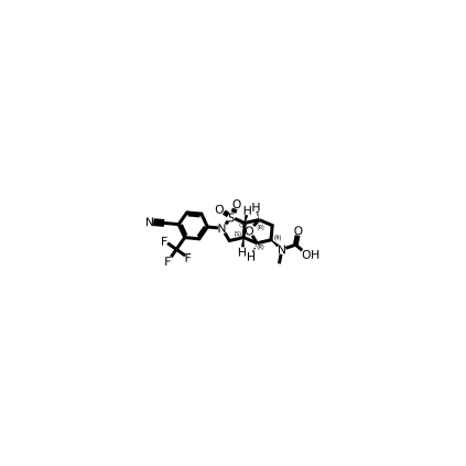 CN(C(=O)O)[C@@H]1C[C@H]2O[C@@H]1[C@@H]1CN(c3ccc(C#N)c(C(F)(F)F)c3)S(=O)(=O)[C@@H]12